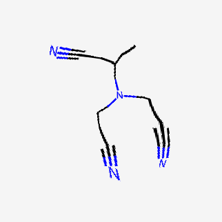 CC(C#N)N(CC#N)CC#N